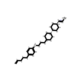 C=CCCCc1ccc(OCCCC2CCC([C@H]3CC[C@H](/C=C/Br)CC3)CC2)cc1